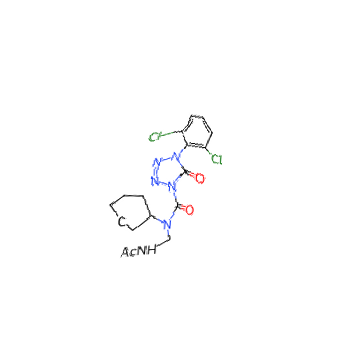 CC(=O)NCN(C(=O)n1nnn(-c2c(Cl)cccc2Cl)c1=O)C1CCCCC1